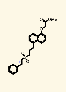 COC(=O)COc1cccc2c(CCCS(=O)(=O)/C=C/c3ccccc3)cccc12